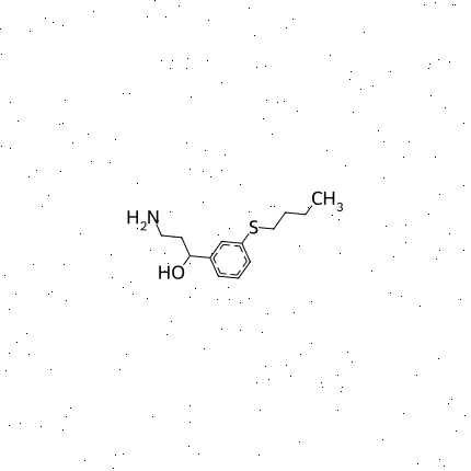 CCCCSc1cccc(C(O)CCN)c1